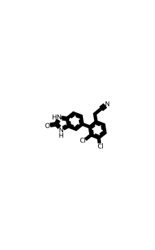 N#CCc1ccc(Cl)c(Cl)c1-c1ccc2[nH]c(=O)[nH]c2c1